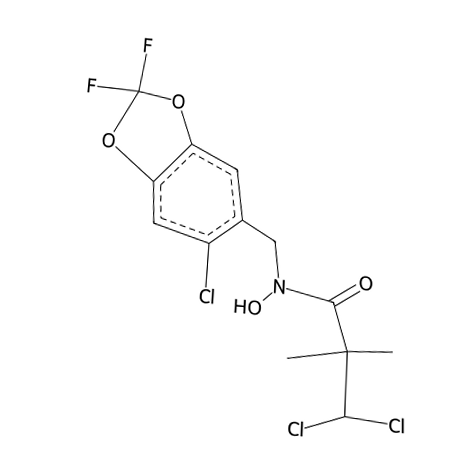 CC(C)(C(=O)N(O)Cc1cc2c(cc1Cl)OC(F)(F)O2)C(Cl)Cl